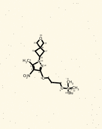 Cc1c([N+](=O)[O-])c(OCCCO[Si](C)(C)C(C)(C)C)nn1C1CC2(COC2)C1